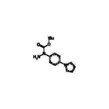 CC(C)(C)OC(=O)N(N)c1ccc(-n2cccc2)cc1